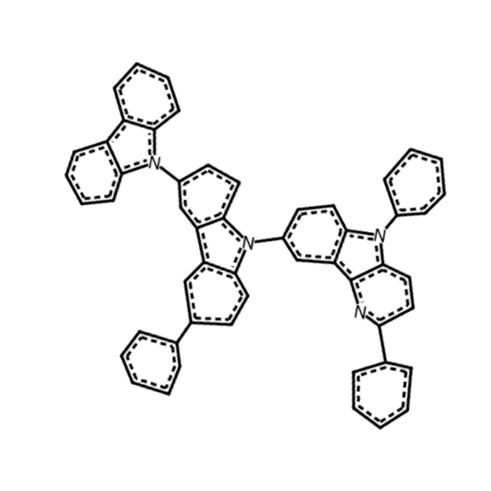 c1ccc(-c2ccc3c(c2)c2cc(-n4c5ccccc5c5ccccc54)ccc2n3-c2ccc3c(c2)c2nc(-c4ccccc4)ccc2n3-c2ccccc2)cc1